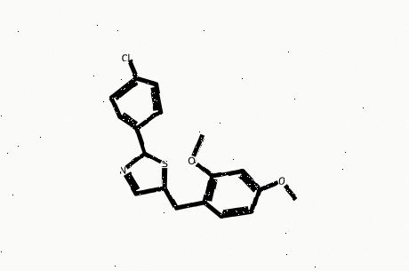 COc1ccc(CC2C=NC(c3ccc(Cl)cc3)S2)c(OC)c1